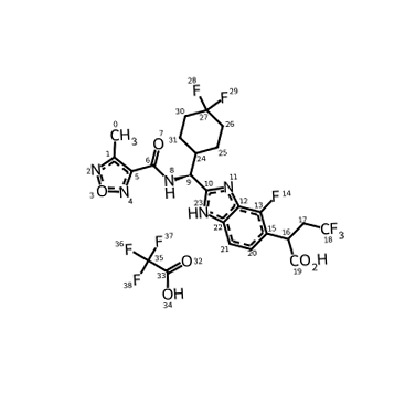 Cc1nonc1C(=O)N[C@H](c1nc2c(F)c(C(CC(F)(F)F)C(=O)O)ccc2[nH]1)C1CCC(F)(F)CC1.O=C(O)C(F)(F)F